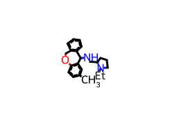 CCN1CCCC1CNC1c2ccccc2COc2ccc(C)cc21